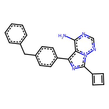 Nc1ncnn2c(C3=CC=C3)nc(-c3ccc(Cc4ccccc4)cc3)c12